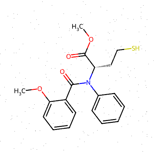 COC(=O)[C@H](CCS)N(C(=O)c1ccccc1OC)c1ccccc1